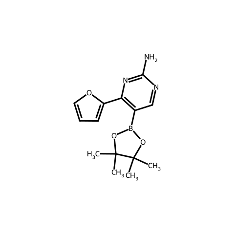 CC1(C)OB(c2cnc(N)nc2-c2ccco2)OC1(C)C